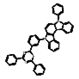 C1=CC2C(c3ccccc3N2c2ccccc2)c2c1n(-c1cccc(C3N=C(c4ccccc4)N=C(c4ccccc4)N3)c1)c1ccccc21